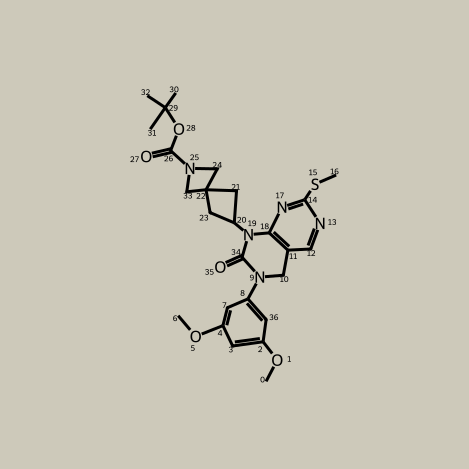 COc1cc(OC)cc(N2Cc3cnc(SC)nc3N(C3CC4(C3)CN(C(=O)OC(C)(C)C)C4)C2=O)c1